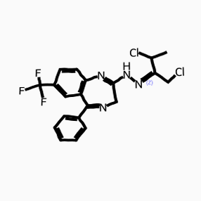 CC(Cl)/C(CCl)=N\NC1=Nc2ccc(C(F)(F)F)cc2C(c2ccccc2)=NC1